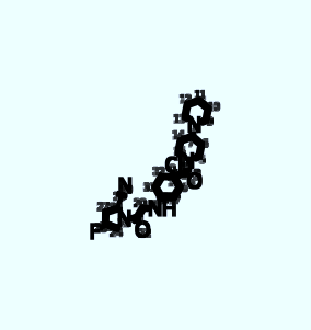 CC1(C(=O)N2CCC(N3CCCCC3)CC2)CC=C(NCC(=O)N2C[C@@H](F)C[C@H]2C#N)CC1